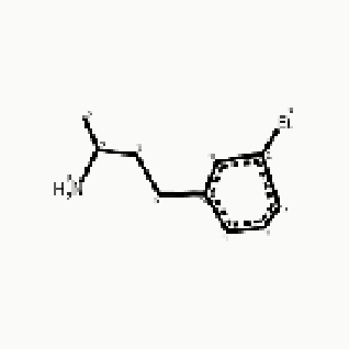 [CH2]Cc1cccc(CCC(C)N)c1